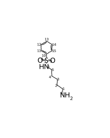 NCCCCCNS(=O)(=O)c1ccccc1